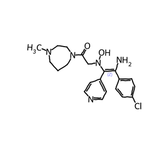 CN1CCCN(C(=O)CN(O)/C(=C(\N)c2ccc(Cl)cc2)c2ccncc2)CC1